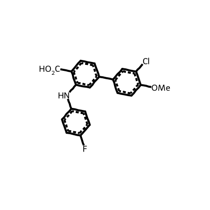 COc1ccc(-c2ccc(C(=O)O)c(Nc3ccc(F)cc3)c2)cc1Cl